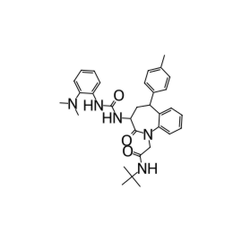 Cc1ccc(C2CC(NC(=O)Nc3ccccc3N(C)C)C(=O)N(CC(=O)NC(C)(C)C)c3ccccc32)cc1